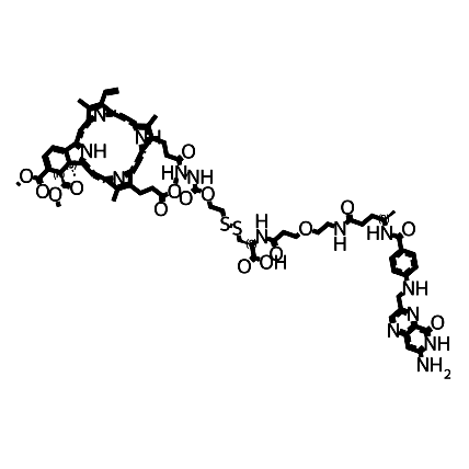 C=CC1=C(C)c2cc3[nH]c(cc4nc(cc5[nH]c(cc1n2)c(C)c5CCC(=O)NNC(=O)OCCSSC[C@@H](NC(=O)CCOCCNC(=O)CC[C@@H](C)NC(=O)c1ccc(NCc2cnc5cc(N)[nH]c(=O)c5n2)cc1)C(=O)O)C(CCC(=O)OC)=C4C)[C@]1(C)C3=CC=C(C(=O)OC)[C@@H]1C(=O)OC